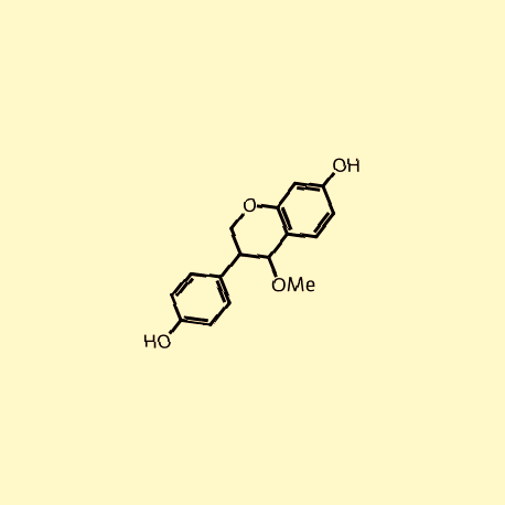 COC1c2ccc(O)cc2OCC1c1ccc(O)cc1